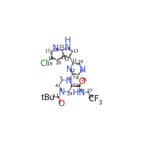 CC(C)(C)C(=O)N1CCN(c2cncc(-c3c[nH]c4ncc(Cl)cc34)n2)[C@@H](C(=O)NCC(F)(F)F)C1